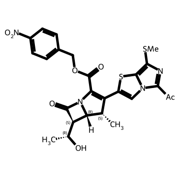 CSc1nc(C(C)=O)n2cc(C3=C(C(=O)OCc4ccc([N+](=O)[O-])cc4)N4C(=O)[C@H]([C@@H](C)O)[C@H]4[C@H]3C)sc12